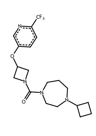 O=C(N1CCCN(C2CCC2)CC1)N1CC(Oc2ccc(C(F)(F)F)nc2)C1